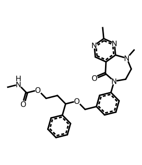 CNC(=O)OCCC(OCc1cccc(N2CCN(C)c3nc(C)ncc3C2=O)c1)c1ccccc1